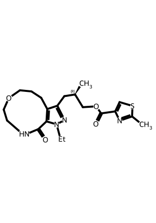 CCn1nc(C[C@@H](C)COC(=O)c2csc(C)n2)c2c1C(=O)NCCCOCCC2